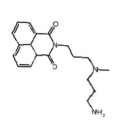 CN(CCCN)CCCN1C(=O)C2=CC=CC3=CC=CC(C1=O)C32